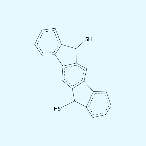 SC1c2ccccc2-c2cc3c(cc21)-c1ccccc1C3S